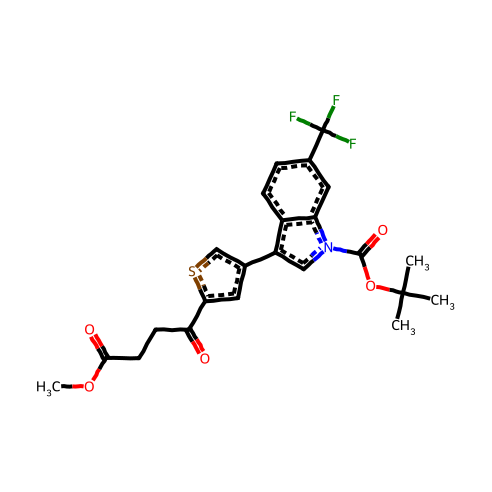 COC(=O)CCC(=O)c1cc(-c2cn(C(=O)OC(C)(C)C)c3cc(C(F)(F)F)ccc23)cs1